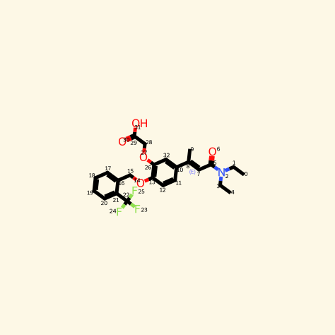 CCN(CC)C(=O)/C=C(\C)c1ccc(OCc2ccccc2C(F)(F)F)c(OCC(=O)O)c1